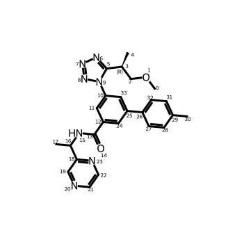 COC[C@H](C)c1nnnn1-c1cc(C(=O)NC(C)c2cnccn2)cc(-c2ccc(C)cc2)c1